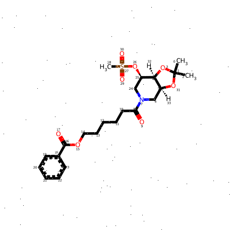 CC1(C)O[C@H]2[C@H](CN(C(=O)CCCCCOC(=O)c3ccccc3)C[C@H]2OS(C)(=O)=O)O1